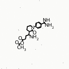 CC(=O)OC(=O)CCC(N)C1CCCN(c2ccc(C(=N)N)cc2)C1=O